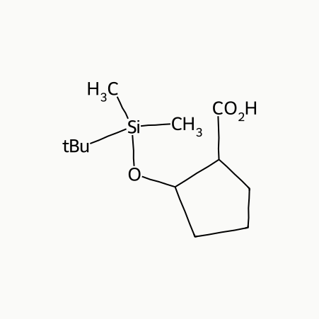 CC(C)(C)[Si](C)(C)OC1CCCC1C(=O)O